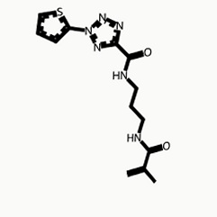 C=C(C)C(=O)NCCCNC(=O)c1nnn(-c2cccs2)n1